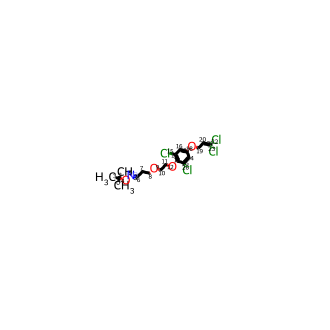 CC(C)(C)O/N=C/CCOCCOc1c(Cl)cc(OCC=C(Cl)Cl)cc1Cl